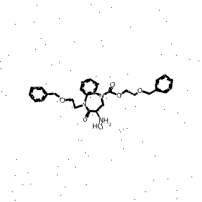 Cl.NC1CN(C(=O)OCCOCc2ccccc2)c2ccccc2N(CCOCc2ccccc2)C1=O